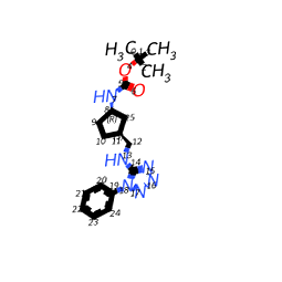 CC(C)(C)OC(=O)N[C@@H]1CC[C@H](CNc2nnnn2-c2ccccc2)C1